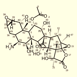 CC(=O)O[C@H]1C2[C@H](C3[C@@H](O)[C@@H]4[C@H]([C@H](C)[C@H]5O[C@]56OC(=O)[C@@](C)(O)[C@]46C)[C@@]3(C(C)=O)[C@H]1O)[C@@H](O)[C@@H](N)C1C[C@@H]3O[C@@H]3[C@H](O)[C@@]12C